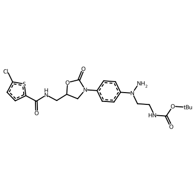 CC(C)(C)OC(=O)NCCN(N)c1ccc(N2CC(CNC(=O)c3ccc(Cl)s3)OC2=O)cc1